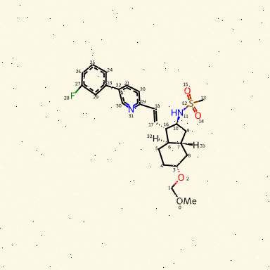 COCO[C@@H]1CC[C@@H]2[C@@H](C1)C[C@H](NS(C)(=O)=O)[C@H]2C=Cc1ccc(-c2cccc(F)c2)cn1